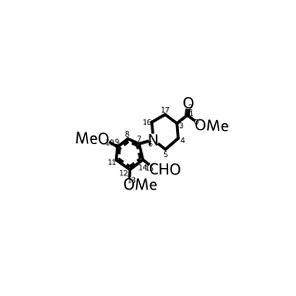 COC(=O)C1CCN(c2cc(OC)cc(OC)c2C=O)CC1